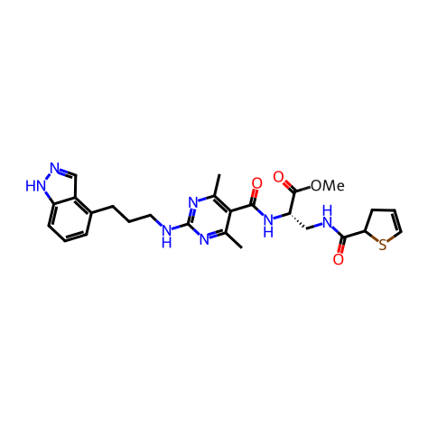 COC(=O)[C@H](CNC(=O)C1CC=CS1)NC(=O)c1c(C)nc(NCCCc2cccc3[nH]ncc23)nc1C